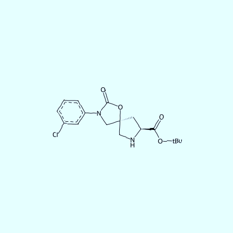 CC(C)(C)OC(=O)[C@@H]1C[C@]2(CN1)CN(c1cccc(Cl)c1)C(=O)O2